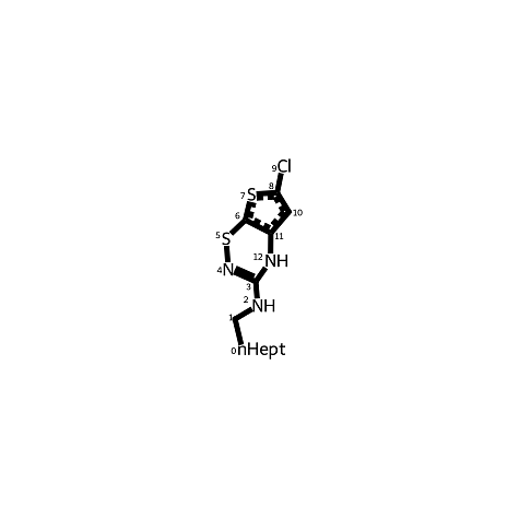 CCCCCCCCNC1=NSc2sc(Cl)cc2N1